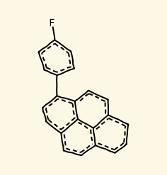 Fc1ccc(-c2ccc3ccc4cccc5ccc2c3c45)cc1